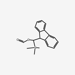 C[Si](C)(C)C(O[C]=O)C1c2ccccc2-c2ccccc21